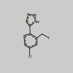 Clc1ccc(-c2cnn[nH]2)c(CI)c1